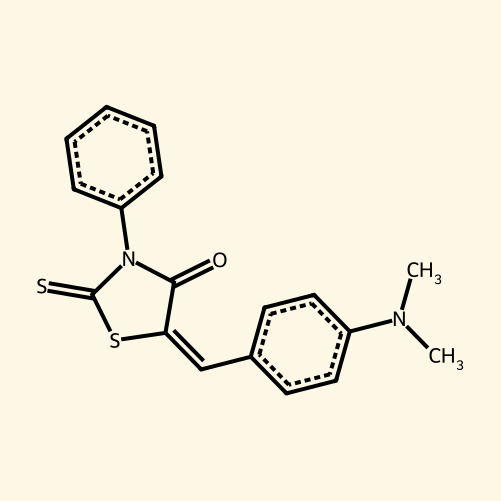 CN(C)c1ccc(C=C2SC(=S)N(c3ccccc3)C2=O)cc1